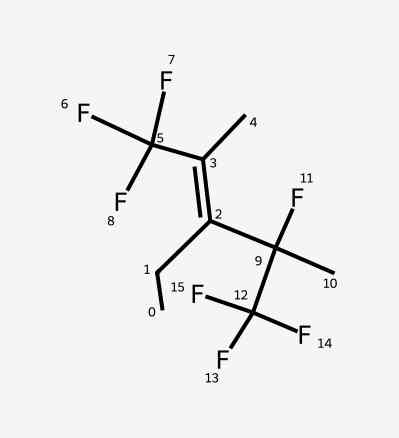 CCC(=C(C)C(F)(F)F)C(C)(F)C(F)(F)F